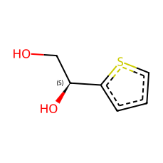 OC[C@H](O)c1cccs1